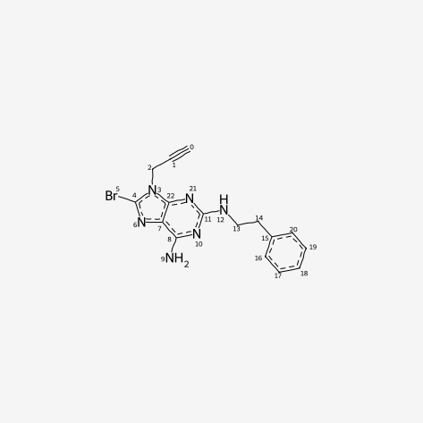 C#CCn1c(Br)nc2c(N)nc(NCCc3ccccc3)nc21